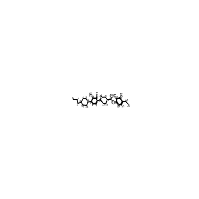 CCCC1CCC(c2ccc(C3CCC(C(=O)Oc4ccc(CC)c(F)c4F)CC3)c(F)c2F)CC1